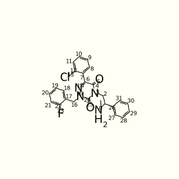 NC(Cn1c(=O)c(-c2ccccc2Cl)nn(Cc2ccccc2F)c1=O)c1ccccc1